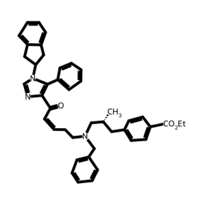 CCOC(=O)c1ccc(C[C@@H](C)CN(CC/C=C\C(=O)c2ncn(C3Cc4ccccc4C3)c2-c2ccccc2)Cc2ccccc2)cc1